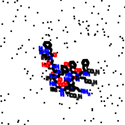 CC[C@H](C)[C@H](NC(=O)[C@@H](NC(=O)[C@H](Cc1ccc(O)cc1)NC(=O)[C@H](CO)NC(=O)CNC(=O)[C@H](Cc1ccccc1)NC(=O)[C@@H](N)C(C)C)C(C)C)C(=O)N[C@@H](CCC(=O)O)C(=O)N[C@@H](CCCCN)C(=O)N[C@@H](Cc1ccccc1)C(=O)N[C@@H](Cc1ccccc1)C(=O)N[C@@H](CCC(=O)O)C(=O)N[C@@H](Cc1ccccc1)C(=O)O